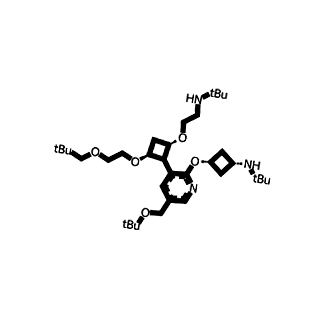 CC(C)(C)COCCO[C@H]1C[C@H](OCCNC(C)(C)C)C1c1cc(COC(C)(C)C)cnc1O[C@H]1C[C@@H](NC(C)(C)C)C1